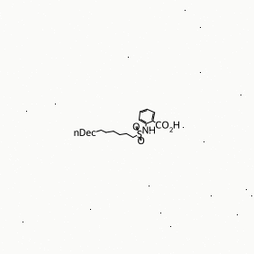 CCCCCCCCCCCCCCCCS(=O)(=O)Nc1ccccc1C(=O)O